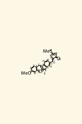 COc1ccc(Cn2ncc3cc(/C=C4\SC(SC)=NC4=O)ccc32)c(C(F)(F)F)c1